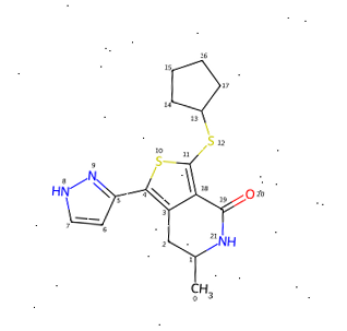 CC1Cc2c(-c3cc[nH]n3)sc(SC3CCCC3)c2C(=O)N1